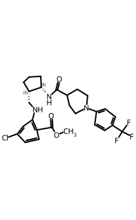 COC(=O)c1ccc(Cl)cc1NC[C@@H]1CCC[C@@H]1NC(=O)C1CCN(c2ccc(C(F)(F)F)cc2)CC1